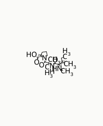 CC[C@H](C)[C@H](NC)C(=O)NC(C)(C)C(=O)N1CCC[C@H]1C(=O)O